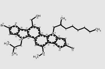 CCCCCCC(C)Cn1c2cc(Br)sc2c2c(OC)cc3c(cc(CO)c4c5sc(Br)cc5n(CC(C)C)c34)c21